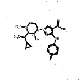 CC(C1CC1)C1[C@H](C#N)[C@H](n2cc(C(N)=O)c(Nc3ccc(F)cc3)n2)CCN1C(=O)O